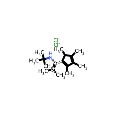 CC1=C(C)C(C)[C]([Zr+2]([NH]C(C)(C)C)=[Si](C)C)=C1C.[Cl-].[Cl-]